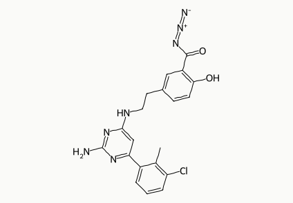 Cc1c(Cl)cccc1-c1cc(NCCc2ccc(O)c(C(=O)N=[N+]=[N-])c2)nc(N)n1